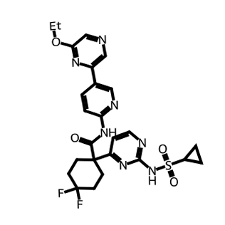 CCOc1cncc(-c2ccc(NC(=O)C3(c4ccnc(NS(=O)(=O)C5CC5)n4)CCC(F)(F)CC3)nc2)n1